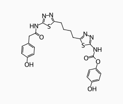 O=C(Cc1ccc(O)cc1)Nc1nnc(CCCCc2nnc(NC(=O)Oc3ccc(O)cc3)s2)s1